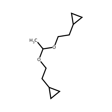 C[C](OCCC1CC1)OCCC1CC1